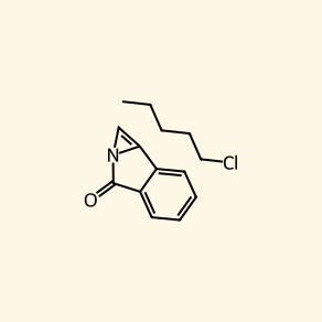 CCCCCCl.O=c1c2ccccc2c2cn1-2